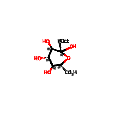 CCCCCCCC[C@@]1(O)O[C@H](C(=O)O)[C@@H](O)[C@H](O)[C@H]1O